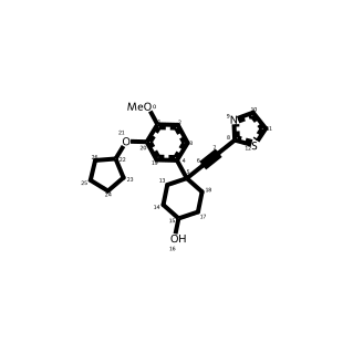 COc1ccc(C2(C#Cc3nccs3)CCC(O)CC2)cc1OC1CCCC1